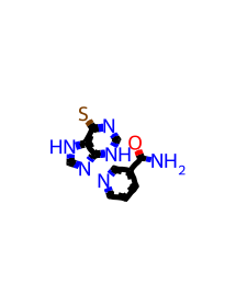 NC(=O)c1cccnc1.S=c1nc[nH]c2nc[nH]c12